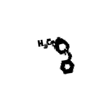 CN1CC2CC1CN(Cc1ccccc1)C2